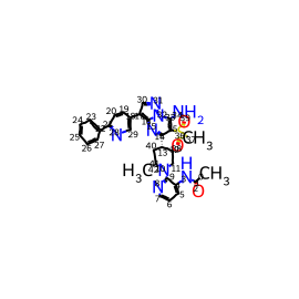 CC(=O)Nc1cccnc1N1CC[C@@H](c2nc3c(-c4ccc(-c5ccccc5)nc4)cnn3c(N)c2S(C)(=O)=O)C[C@@H]1C